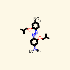 C=C(C)COc1cc(N(CC)CC)ccc1/N=N/c1ccc([N+](=O)[O-])cc1OCC(=C)C